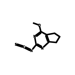 COc1nc(N=C=S)nc2c1CCC2